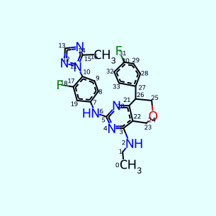 CCNc1nc(Nc2ccc(-n3ncnc3C)c(F)c2)nc2c1COCC2c1ccc(F)cc1